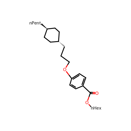 CCCCCCOC(=O)c1ccc(OCCC[C@H]2CC[C@H](CCCCC)CC2)cc1